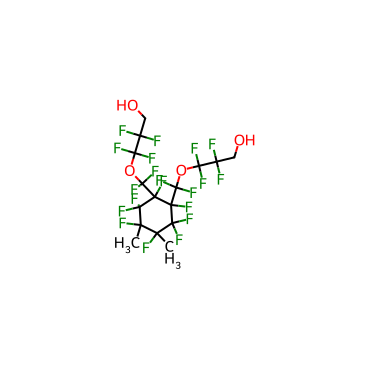 CC1(F)C(C)(F)C(F)(F)C(F)(C(F)(F)OC(F)(F)C(F)(F)CO)C(F)(C(F)(F)OC(F)(F)C(F)(F)CO)C1(F)F